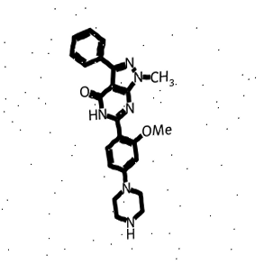 COc1cc(N2CCNCC2)ccc1-c1nc2c(c(-c3ccccc3)nn2C)c(=O)[nH]1